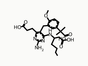 CCCCC(CC(=O)O)Nc1nc(N)nc(CCC(=O)O)c1Cc1cc(C(C)(C)C(=O)O)ccc1OC